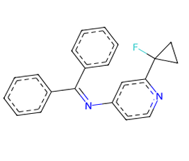 FC1(c2cc(N=C(c3ccccc3)c3ccccc3)ccn2)CC1